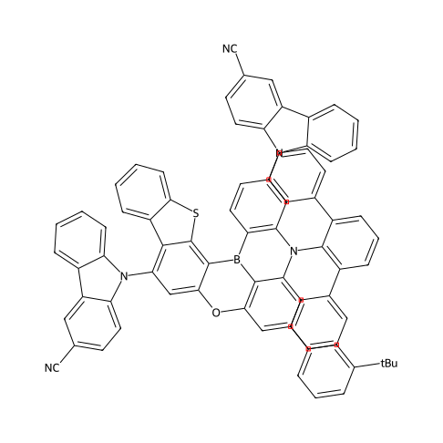 CC(C)(C)c1cccc(-c2cc3c4c(c2)N(c2c(-c5ccccc5)cccc2-c2ccccc2)c2cc(-n5c6ccccc6c6cc(C#N)ccc65)ccc2B4c2c(cc(-n4c5ccccc5c5cc(C#N)ccc54)c4c2sc2ccccc24)O3)c1